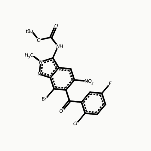 Cn1nc2c(Br)c(C(=O)c3cc(F)ccc3Cl)c([N+](=O)[O-])cc2c1NC(=O)OC(C)(C)C